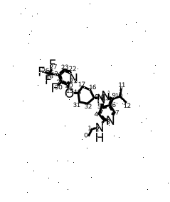 CCNc1cc2c(cn1)c(C(C)C)nn2C1CCC(Oc2nccc(C(F)(F)F)c2F)CC1